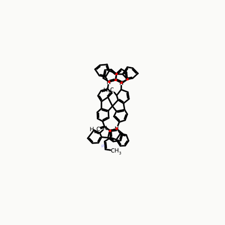 C=Cc1c(/C=C\C)c2ccccc2n1-c1ccc2c(c1)C1(C3=C2C=CC(n2c4ccccc4c4ccccc42)C3C)c2cc(-n3c4ccccc4c4ccccc43)ccc2-c2ccc(-n3c4ccccc4c4ccccc43)cc21